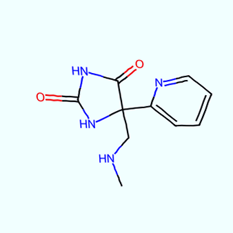 CNCC1(c2ccccn2)NC(=O)NC1=O